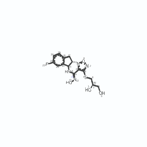 OC[C@@H](O)CSc1nonc1/C(=N/O)NC1CCc2ccc(F)cc21